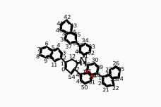 C1=C(c2ccc3ccccc3c2)CC(N(c2ccc(-c3cccc4ccccc34)cc2)c2cccc(-c3ccc4ccccc4c3)c2)C(c2ccccc2)=C1